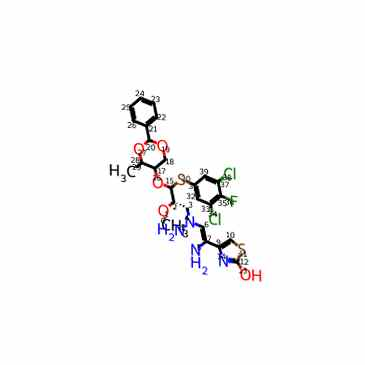 CO[C@@H](CN(N)/C=C(\N)c1csc(O)n1)C(OC1COC(c2ccccc2)OC1C)Sc1cc(Cl)c(F)c(Cl)c1